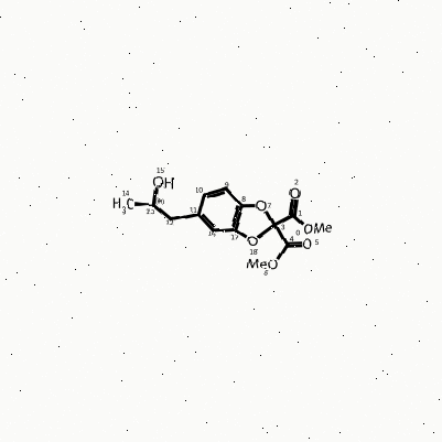 COC(=O)C1(C(=O)OC)Oc2ccc(C[C@@H](C)O)cc2O1